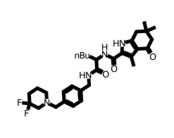 CCCCC(NC(=O)c1[nH]c2c(c1C)C(=O)CC(C)(C)C2)C(=O)NCc1ccc(CN2CCCC(F)(F)C2)cc1